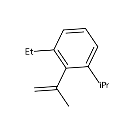 C=C(C)c1c(CC)cccc1C(C)C